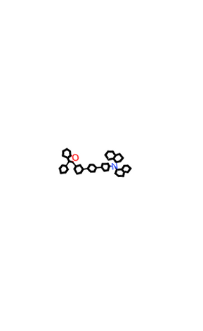 c1ccc(-c2c(-c3cccc(-c4ccc(-c5ccc(N(c6cccc7ccccc67)c6cccc7ccccc67)cc5)cc4)c3)oc3ccccc23)cc1